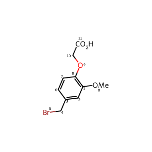 COc1cc(CBr)ccc1OCC(=O)O